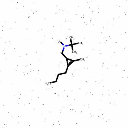 CCCCC1=C(C)C1CN(C)C(C)(C)C